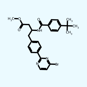 COC(=O)CC(Cc1ccc(-c2nccc(Br)n2)cc1)NC(=O)c1ccc(C(C)(C)C)cc1